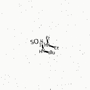 CC(C)(C)NS(=O)(=O)O.CCNCC